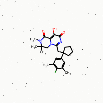 Cc1cc(C2(Cc3nc(=O)c(O)c4n3CC(C)(C)N(C)C4=O)CCCC2)cc(C)c1F